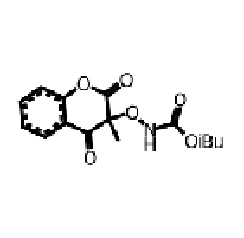 CC(C)COC(=O)NOC1(C)C(=O)Oc2ccccc2C1=O